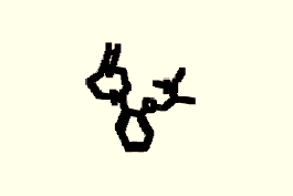 CC(COc1ccccc1N1CCNCC1)N(C)C